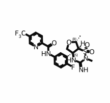 C[C@H]1OC[C@]2(c3cc(NC(=O)c4ccc(C(F)(F)F)cn4)ccc3F)NC(=N)N(C)S(=O)(=O)[C@H]12